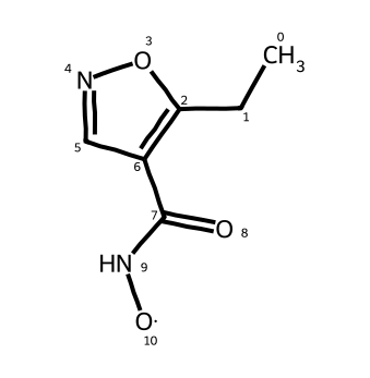 CCc1oncc1C(=O)N[O]